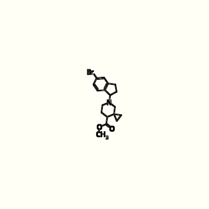 COC(=O)C1CCN(C2CCc3cc(Br)ccc32)CC12CC2